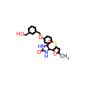 Cc1cc(Sc2ccc(OCc3cccc(CO)c3)cc2)c(C2NC(=O)NC2=O)o1